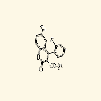 O=C(O)c1c(-c2ccccc2F)c2cc(Cl)ccc2oc1=O